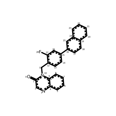 O=c1cnc2ccccc2n1Cc1ccc(-c2ccc3ccccc3c2)cc1F